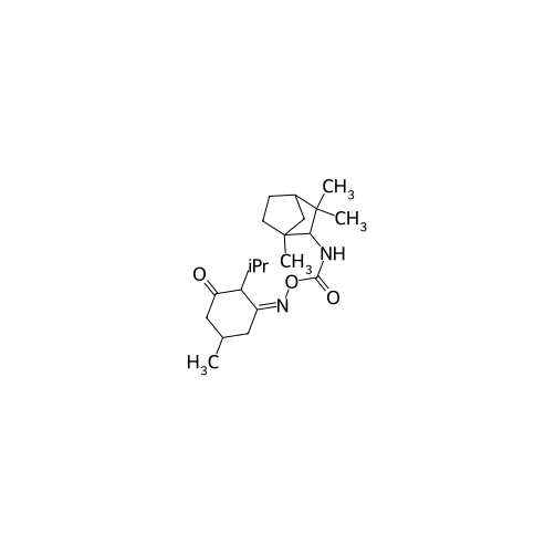 CC1CC(=O)C(C(C)C)C(=NOC(=O)NC2C3(C)CCC(C3)C2(C)C)C1